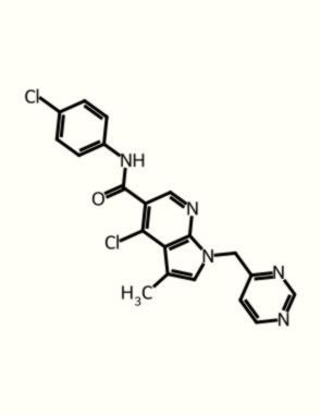 Cc1cn(Cc2ccncn2)c2ncc(C(=O)Nc3ccc(Cl)cc3)c(Cl)c12